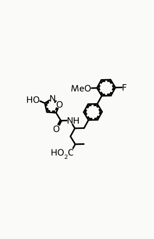 COc1ccc(F)cc1-c1ccc(CC(CC(C)C(=O)O)NC(=O)c2cc(O)no2)cc1